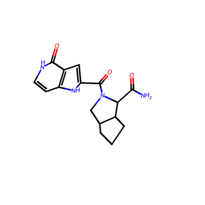 NC(=O)C1C2CCCC2CN1C(=O)c1cc2c(=O)[nH]ccc2[nH]1